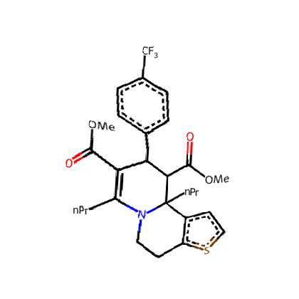 CCCC1=C(C(=O)OC)C(c2ccc(C(F)(F)F)cc2)C(C(=O)OC)C2(CCC)c3ccsc3CCN12